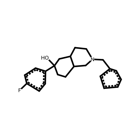 OC1(c2ccc(F)cc2)CCC2CN(Cc3ccccc3)CCC2C1